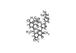 [2H]C([2H])([2H])n1cc(-c2ccc(-c3nc4c([C@@H](C)Nc5ccc(Cl)nc5C(=O)NS(C)(=O)=O)cc(C)cc4c(=O)n3C)cn2)cn1